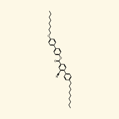 CCCCCCCCCc1ccc(-c2ccc(C(=O)Oc3ccc(-c4ccc(OCCCCCCCC)cc4)cc3)cc2C#N)cc1